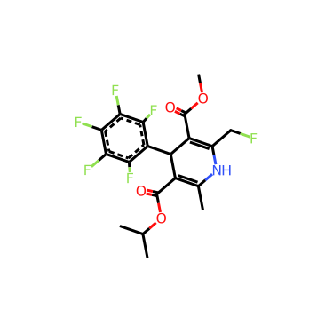 COC(=O)C1=C(CF)NC(C)=C(C(=O)OC(C)C)C1c1c(F)c(F)c(F)c(F)c1F